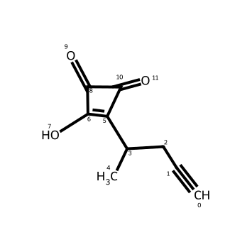 C#CCC(C)c1c(O)c(=O)c1=O